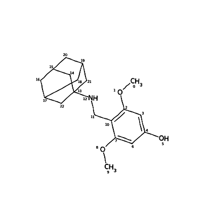 COc1cc(O)cc(OC)c1CNC12CC3CC(CC(C3)C1)C2